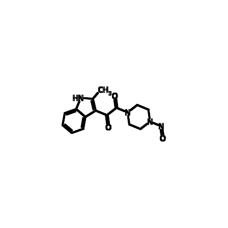 Cc1[nH]c2ccccc2c1C(=O)C(=O)N1CCN(N=O)CC1